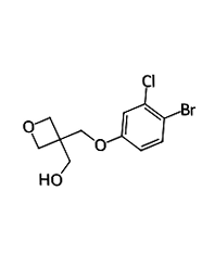 OCC1(COc2ccc(Br)c(Cl)c2)COC1